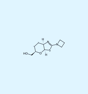 OC[C@H]1[C][C][C@H]2N=C(N3CCC3)S[C@H]2O1